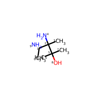 CCC(C)(N)C(C)(C)O.N